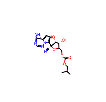 CC(C)COC(=O)OC[C@H]1O[C@@](C#N)(c2ccc3c(N)ncnn23)[C@H](O)[C@@H]1O